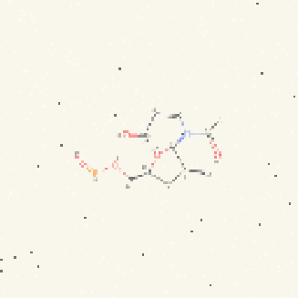 CC(=O)/C=C\N(C(C)=O)[C@@H]1O[C@H](COP=O)C[C@@H]1C